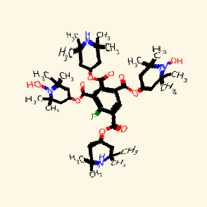 CC1(C)CC(OC(=O)c2cc(C(=O)OC3CC(C)(C)N(O)C(C)(C)C3)c(C(=O)OC3CC(C)(C)NC(C)(C)C3)c(C(=O)OC3CC(C)(C)N(O)C(C)(C)C3)c2F)CC(C)(C)N1